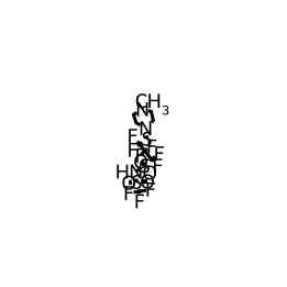 CN1CCN(SC(F)(F)C(F)(F)C(F)(F)S(=O)(=O)NS(=O)(=O)C(F)(F)F)CC1